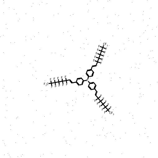 FC(F)(F)C(F)(F)C(F)(F)C(F)(F)C(F)(F)C(F)(F)C=Cc1ccc(P(c2ccc(C=CC(F)(F)C(F)(F)C(F)(F)C(F)(F)C(F)(F)C(F)(F)F)cc2)c2ccc(C=CC(F)(F)C(F)(F)C(F)(F)C(F)(F)C(F)(F)C(F)(F)F)cc2)cc1